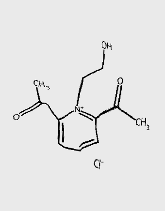 CC(=O)c1cccc(C(C)=O)[n+]1CCO.[Cl-]